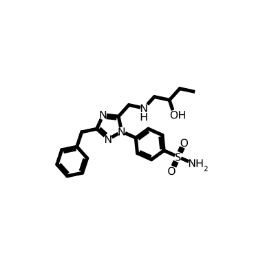 CCC(O)CNCc1nc(Cc2ccccc2)nn1-c1ccc(S(N)(=O)=O)cc1